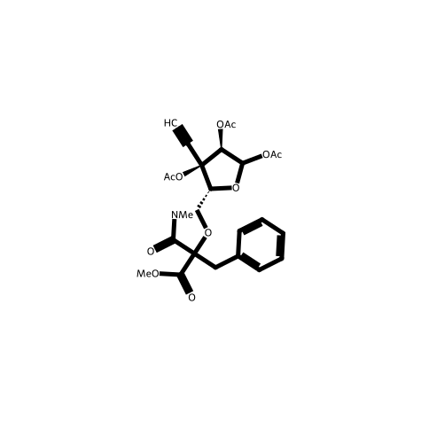 C#C[C@@]1(OC(C)=O)[C@@H](COC(Cc2ccccc2)(C(=O)NC)C(=O)OC)OC(OC(C)=O)[C@@H]1OC(C)=O